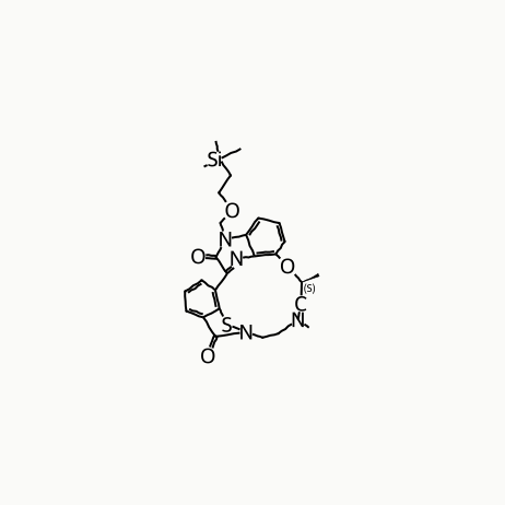 C[C@H]1CN(C)CCn2sc3c(cccc3c2=O)-c2nc3c(cccc3n(COCC[Si](C)(C)C)c2=O)O1